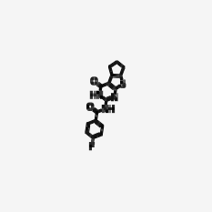 O=C(Nc1nc2sc3c(c2c(=O)[nH]1)CCC3)c1ccc(F)cc1